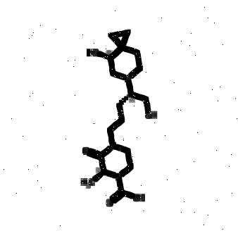 C[C@H]1C(=O)N(CCC[C@@H](CO)N2CCC3(CC3)[C@H](O)C2)CCN1C(=O)O